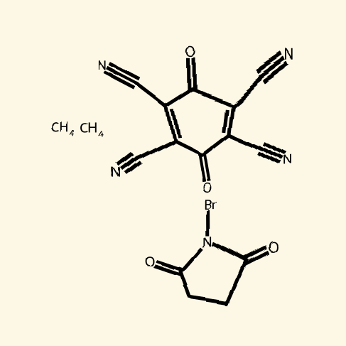 C.C.N#CC1=C(C#N)C(=O)C(C#N)=C(C#N)C1=O.O=C1CCC(=O)N1Br